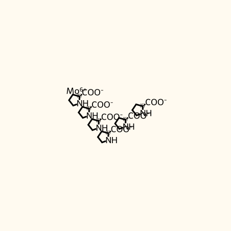 O=C([O-])[C@@H]1CCCN1.O=C([O-])[C@@H]1CCCN1.O=C([O-])[C@@H]1CCCN1.O=C([O-])[C@@H]1CCCN1.O=C([O-])[C@@H]1CCCN1.O=C([O-])[C@@H]1CCCN1.[Mo+6]